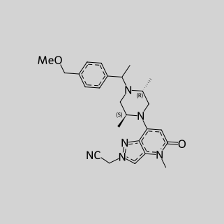 COCc1ccc(C(C)N2C[C@H](C)N(c3cc(=O)n(C)c4cn(CC#N)nc34)C[C@H]2C)cc1